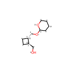 OC[C@H]1CC[C@@H]1COC1CCCCO1